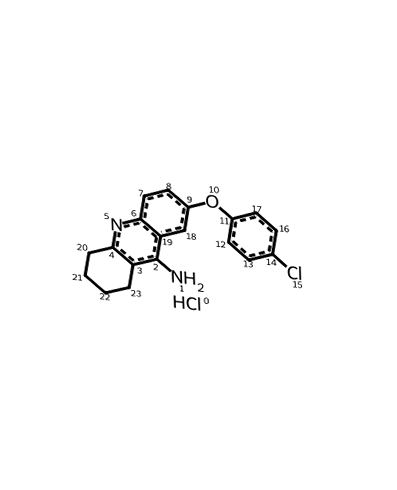 Cl.Nc1c2c(nc3ccc(Oc4ccc(Cl)cc4)cc13)CCCC2